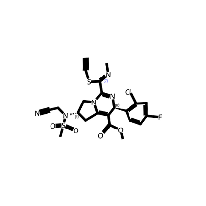 C#CS/C(=N\C)C1=N[C@@H](c2ccc(F)cc2Cl)C(C(=O)OC)=C2C[C@H](N(CC#N)S(C)(=O)=O)CN12